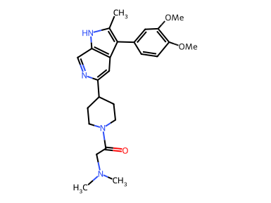 COc1ccc(-c2c(C)[nH]c3cnc(C4CCN(C(=O)CN(C)C)CC4)cc23)cc1OC